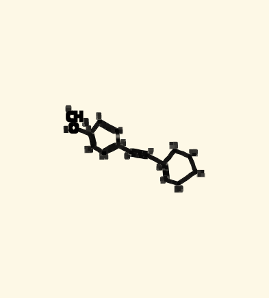 COc1ccc(C#CC2=CCCCC2)cc1